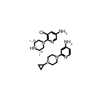 C[C@@H]1CN(c2ncc(N)cc2Cl)C[C@H](C)N1.Nc1ccnc(N2CCN(C3CC3)CC2)c1